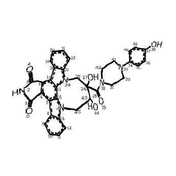 O=C1NC(=O)c2c1c1c3ccccc3n3c1c1c2c2ccccc2n1CC(O)(C(=O)N1CCN(c2ccc(O)cc2)CC1)C(O)C3